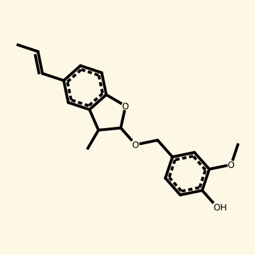 C/C=C/c1ccc2c(c1)C(C)C(OCc1ccc(O)c(OC)c1)O2